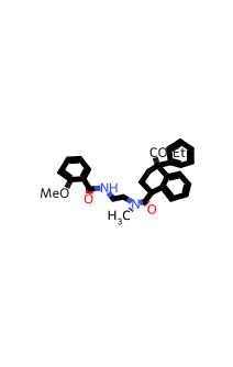 CCOC(=O)C1(c2ccccc2)CCC(C(=O)N(C)CCNC(=O)c2ccccc2OC)c2ccccc21